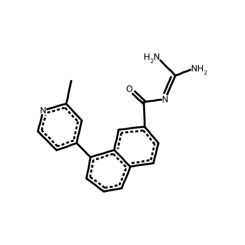 Cc1cc(-c2cccc3ccc(C(=O)N=C(N)N)cc23)ccn1